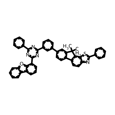 CC1(C)c2cc(-c3cccc(-c4nc(-c5ccccc5)nc(-c5cccc6c5oc5ccccc56)n4)c3)ccc2-c2ccc3nc(-c4ccccc4)sc3c21